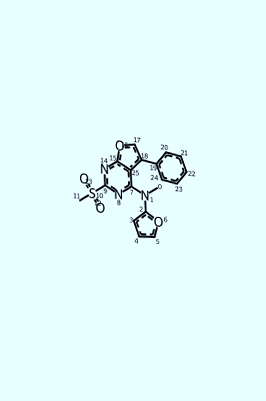 CN(c1ccco1)c1nc(S(C)(=O)=O)nc2occ(-c3ccccc3)c12